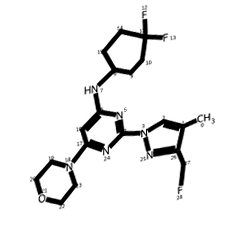 Cc1cn(-c2nc(NC3CCC(F)(F)CC3)cc(N3CCOCC3)n2)nc1CF